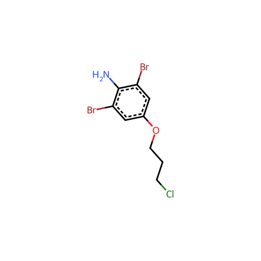 Nc1c(Br)cc(OCCCCl)cc1Br